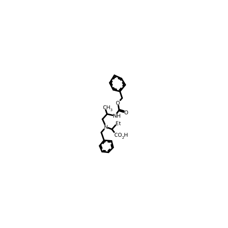 CCC(C(=O)O)N(Cc1ccccc1)CC(C)NC(=O)OCc1ccccc1